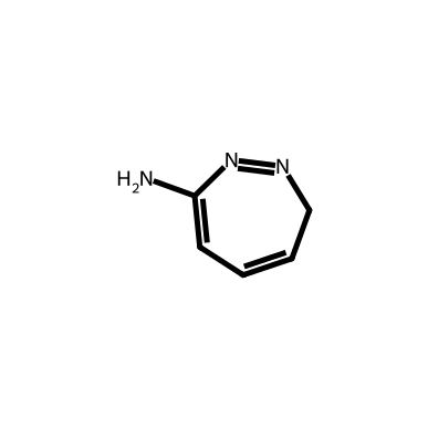 NC1=CC=CCN=N1